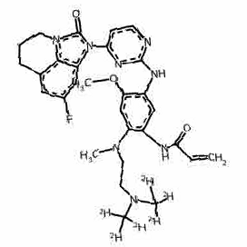 [2H]C([2H])([2H])N(CCN(C)c1cc(OC)c(Nc2nccc(-n3c(=O)n4c5c(cc(F)cc53)CCC4)n2)cc1NC(=O)C=C)C([2H])([2H])[2H]